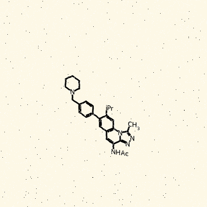 CC(=O)Nc1cc2cc(-c3ccc(CN4CCCCC4)cc3)c(C(C)C)cc2n2c(C)nnc12